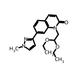 CCOC(Cn1c(=O)ccc2ccc(-c3ccn(C)n3)cc21)OCC